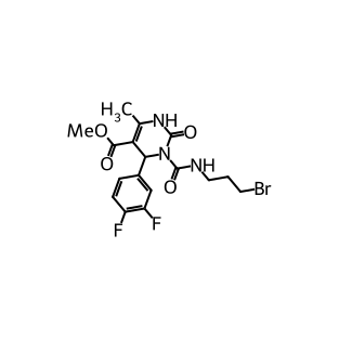 COC(=O)C1=C(C)NC(=O)N(C(=O)NCCCBr)C1c1ccc(F)c(F)c1